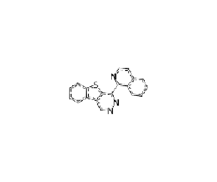 c1ccc2c(-c3nncc4c3sc3ccccc34)nccc2c1